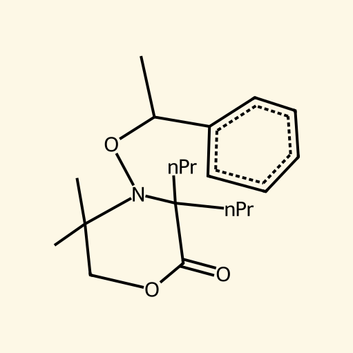 CCCC1(CCC)C(=O)OCC(C)(C)N1OC(C)c1ccccc1